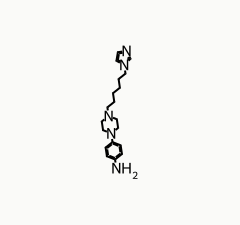 Nc1ccc(N2CCN(CCCCCCn3ccnc3)CC2)cc1